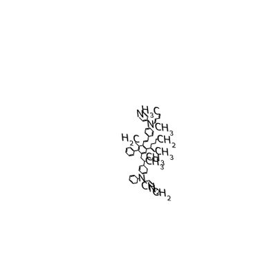 C=CCC/C(=C\C)c1c(C)c(CC(C)C2C=CC(N(C(=C)/C=C\N=C)C3C=CC=CC3)=CC2)c(-c2ccccc2)c(C=C)c1/C=C/c1ccc(N(/C(C)=C/C=C\C)c2ccncc2)cc1